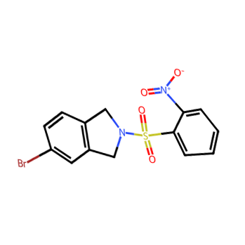 O=[N+]([O-])c1ccccc1S(=O)(=O)N1Cc2ccc(Br)cc2C1